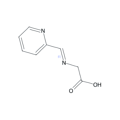 O=C(O)C/N=C/c1ccccn1